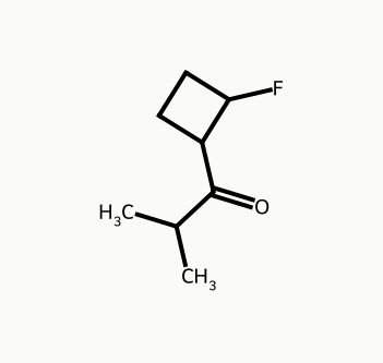 CC(C)C(=O)C1CCC1F